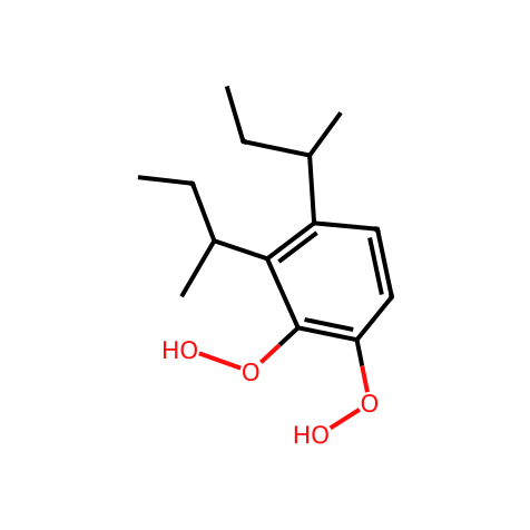 CCC(C)c1ccc(OO)c(OO)c1C(C)CC